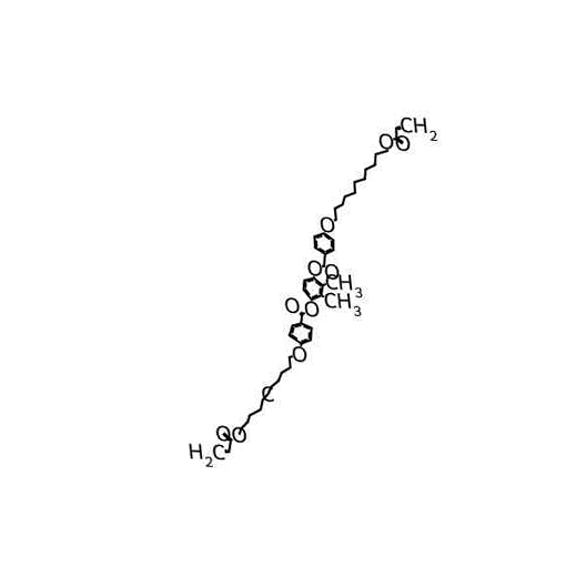 C=CC(=O)OCCCCCCCCCCCOc1ccc(C(=O)Oc2ccc(OC(=O)c3ccc(OCCCCCCCCCCCOC(=O)C=C)cc3)c(C)c2C)cc1